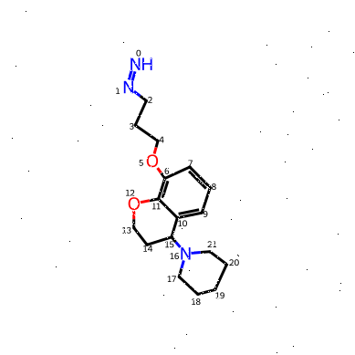 N=NCCCOc1cccc2c1OCCC2N1CCCCC1